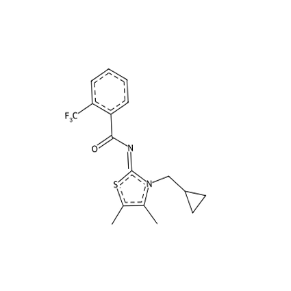 Cc1s/c(=N\C(=O)c2ccccc2C(F)(F)F)n(CC2CC2)c1C